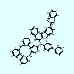 c1ccc(-c2ccc(N(c3ccc4c(c3)-c3ccccc3Cc3ccccc3-c3ccccc3C4)c3cc4ccccc4c4c3oc3ccc(-c5nc6ccccc6o5)cc34)cc2)cc1